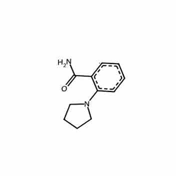 NC(=O)c1[c]cccc1N1CCCC1